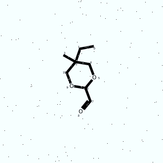 CCC1(C)COC(C=O)OC1